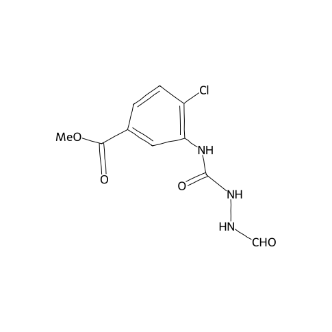 COC(=O)c1ccc(Cl)c(NC(=O)NNC=O)c1